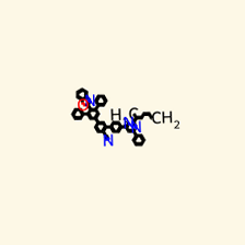 C=C/C=C\C=C(/C)c1nc(-c2ccccc2)cc(-c2ccc(-c3cc(-c4cc(-c5ccccc5)c(-c5nc6ccccc6o5)c(-c5ccccc5)c4)ccc3C#N)cc2)n1